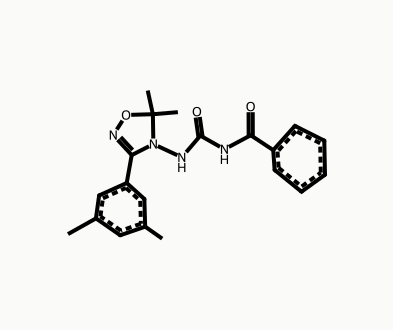 Cc1cc(C)cc(C2=NOC(C)(C)N2NC(=O)NC(=O)c2ccccc2)c1